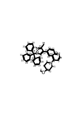 COC1CCN(c2ccnc3ccc(-c4cn(C(c5ccccc5)(c5ccccc5)c5ccccc5)nc4C)cc23)CC1